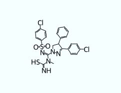 CN(C(=N)S)C(=NS(=O)(=O)c1ccc(Cl)cc1)N1CC(c2ccccc2)C(c2ccc(Cl)cc2)=N1